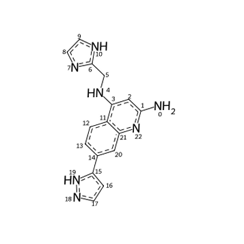 Nc1cc(NCc2ncc[nH]2)c2ccc(-c3ccn[nH]3)cc2n1